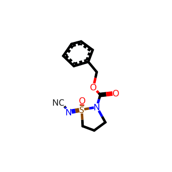 N#CN=S1(=O)CCCN1C(=O)OCc1ccccc1